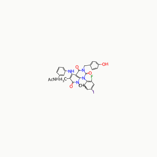 CC(=O)Nc1cccc(Nc2c(C)c(=O)n(C)c3c2c(=O)n(Cc2ccc(O)cc2)c(=O)n3-c2ccc(I)cc2F)c1